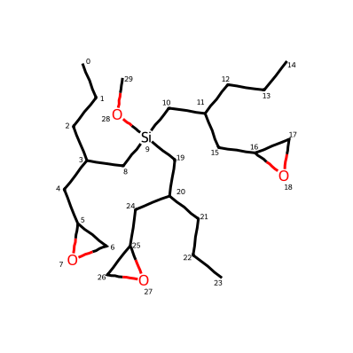 CCCC(CC1CO1)C[Si](CC(CCC)CC1CO1)(CC(CCC)CC1CO1)OC